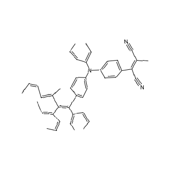 C\C=C/C=C(C)/C(C(/C=C\C)=C\C)=C(C(/C=C\C)=C/C)\c1ccc(N(C(/C=C\C)=C/C)c2ccc(/C(C#N)=C(/C)C#N)cc2)cc1